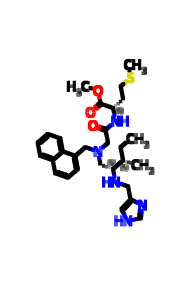 CC[C@H](C)[C@@H](CN(CC(=O)N[C@@H](CCSC)C(=O)OC)Cc1cccc2ccccc12)NCc1c[nH]cn1